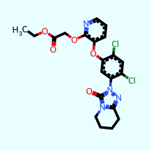 CCOC(=O)COc1ncccc1Oc1cc(-n2nc3n(c2=O)CCCC3)c(Cl)cc1Cl